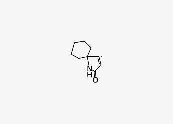 O=C1C=[C]C2(CCCCC2)N1